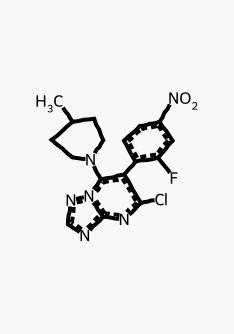 CC1CCN(c2c(-c3ccc([N+](=O)[O-])cc3F)c(Cl)nc3ncnn23)CC1